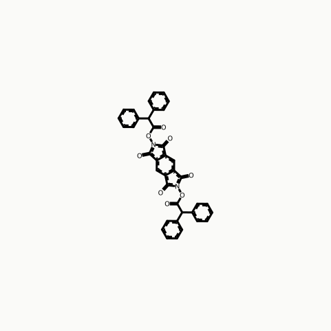 O=C(On1c(=O)c2cc3c(=O)n(OC(=O)C(c4ccccc4)c4ccccc4)c(=O)c3cc2c1=O)C(c1ccccc1)c1ccccc1